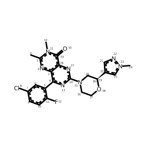 Cc1nc2c(-c3cc(Cl)ccc3F)nc(N3CCO[C@H](c4cnn(C)c4)C3)nc2c(=O)n1C